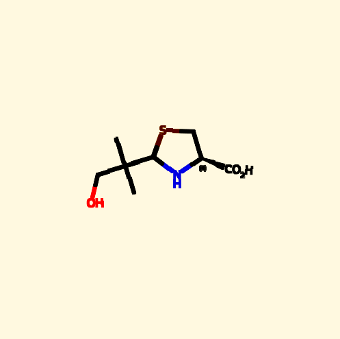 CC(C)(CO)C1N[C@H](C(=O)O)CS1